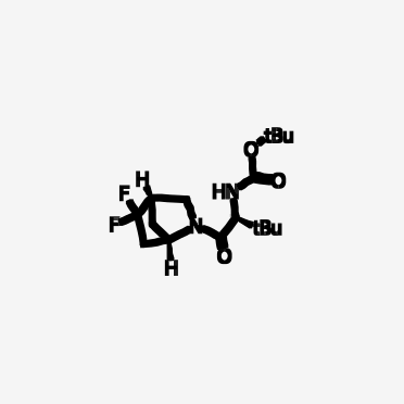 CC(C)(C)OC(=O)N[C@H](C(=O)N1C[C@@H]2C[C@H]1CC2(F)F)C(C)(C)C